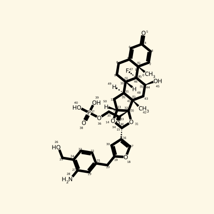 C[C@]12C=CC(=O)C=C1CC[C@H]1[C@@H]3C[C@H]4O[C@@H](c5coc(Cc6ccc(CO)c(N)c6)c5)O[C@@]4(C(=O)COP(=O)(O)O)[C@@]3(C)C[C@H](O)[C@@]12F